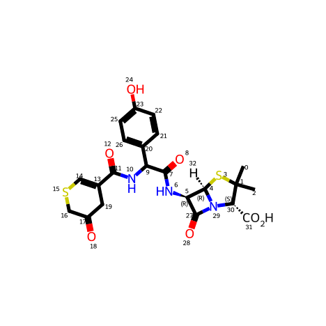 CC1(C)S[C@@H]2[C@H](NC(=O)C(NC(=O)C3=CSCC(=O)C3)c3ccc(O)cc3)C(=O)N2[C@H]1C(=O)O